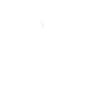 C=CCCCC[SiH](Cl)Cl